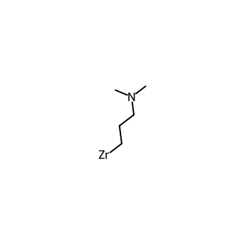 CN(C)CC[CH2][Zr]